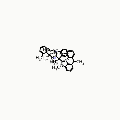 C=C/C=C\C(=[N+](\C)C(C)(C)c1ccccc1C)C(C)(c1ccccc1C)c1n(C)c2cccc3c2[n+]1-c1c(C(C)C)cccc1C3C